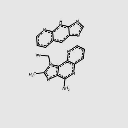 Cc1nc2c(N)nc3cccnc3c2n1CC(C)C.c1cnc2[nH]c3ncnc-3cc2c1